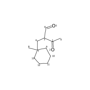 CC(=O)C([C]=O)CC1(C)CCCCC1